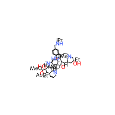 CC[C@]1(O)C[C@H]2CN(CCc3c([nH]c4ccc(CNC(C)C)cc34)[C@@](C(=O)OC)(C3C=C4C(=CC3OC)N(C)[C@H]3[C@@](O)(C(=O)OC)[C@H](OC(C)=O)[C@]5(CC)C=CCN6CC[C@]43[C@@H]65)C2)C1